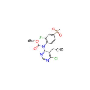 CC(C)(C)OC(=O)N(c1ccc(S(C)(=O)=O)cc1F)c1ncnc(Cl)c1CC=O